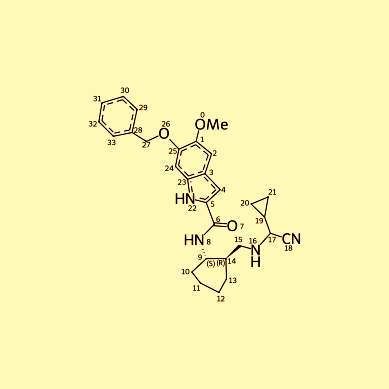 COc1cc2cc(C(=O)N[C@H]3CCCC[C@@H]3CNC(C#N)C3CC3)[nH]c2cc1OCc1ccccc1